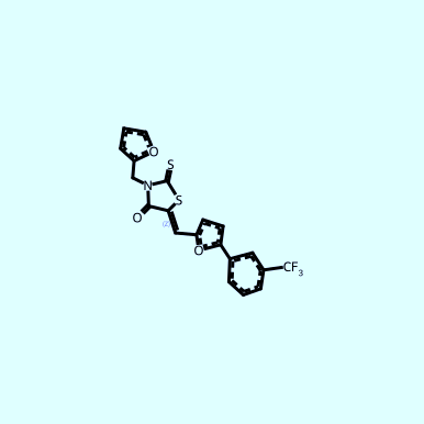 O=C1/C(=C/c2ccc(-c3cccc(C(F)(F)F)c3)o2)SC(=S)N1Cc1ccco1